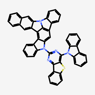 c1ccc2cc3c(cc2c1)c1c2c4ccccc4n(-c4nc(-n5c6ccccc6c6ccccc65)c5sc6ccccc6c5n4)c2cc2c4ccccc4n3c21